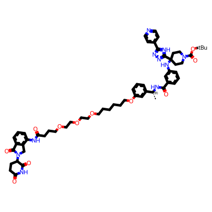 C[C@@H](NC(=O)c1cccc(NC2(c3nnc(-c4ccncc4)[nH]3)CCN(C(=O)OC(C)(C)C)CC2)c1)c1cccc(OCCCCCCOCCOCCOCCCC(=O)Nc2cccc3c2CN(C2CCC(=O)NC2=O)C3=O)c1